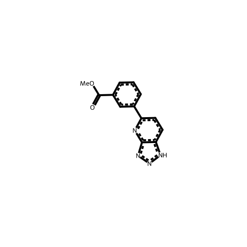 COC(=O)c1cccc(-c2ccc3[nH]nnc3n2)c1